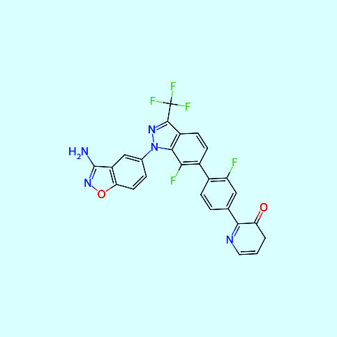 Nc1noc2ccc(-n3nc(C(F)(F)F)c4ccc(-c5ccc(C6=NC=CCC6=O)cc5F)c(F)c43)cc12